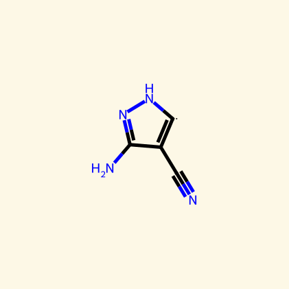 N#Cc1[c][nH]nc1N